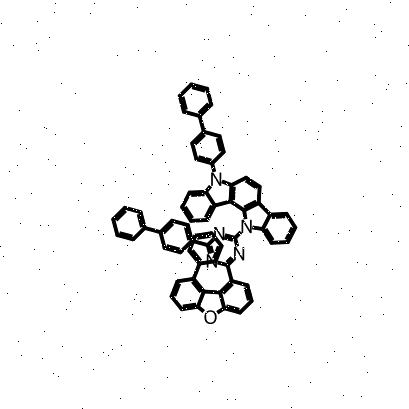 c1ccc(-c2ccc(-c3nc(-c4cccc5oc6cccc(-c7ccccc7)c6c45)nc(-n4c5ccccc5c5ccc6c(c7ccccc7n6-c6ccc(-c7ccccc7)cc6)c54)n3)cc2)cc1